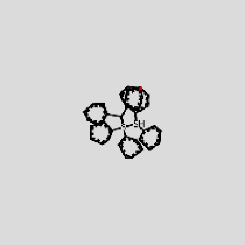 c1ccc(C(c2ccccc2)S(c2ccccc2)(c2ccccc2)[SH](c2ccccc2)c2ccccc2)cc1